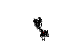 COC(=O)N[C@H]1CCC(=O)N2CCC[C@@H](c3ncc(-c4ccc(-c5ccc(-c6cnc([C@@H]7CC8(CCOCC8)CN7C(=O)[C@@H](NC(=O)OC)C(C)C)[nH]6)cc5)cc4)[nH]3)N2C1=O